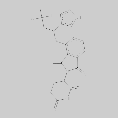 O=C1CCC(N2C(=O)c3cccc(NC(CC(F)(F)F)c4cn[nH]c4)c3C2=O)C(=O)N1